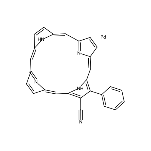 N#Cc1c(-c2ccccc2)c2cc3nc(cc4ccc(cc5nc(cc1[nH]2)C=C5)[nH]4)C=C3.[Pd]